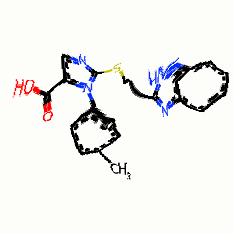 Cc1ccc(-n2c(C(=O)O)cnc2SCc2nc3ccccc3[nH]2)cc1